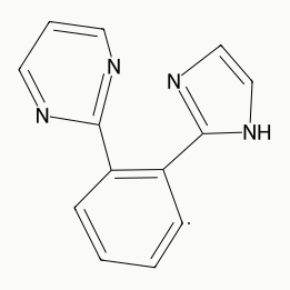 [c]1cccc(-c2ncccn2)c1-c1ncc[nH]1